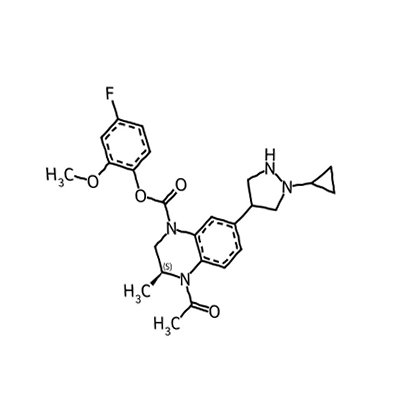 COc1cc(F)ccc1OC(=O)N1C[C@H](C)N(C(C)=O)c2ccc(C3CNN(C4CC4)C3)cc21